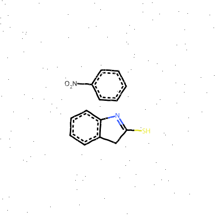 O=[N+]([O-])c1ccccc1.SC1=Nc2ccccc2C1